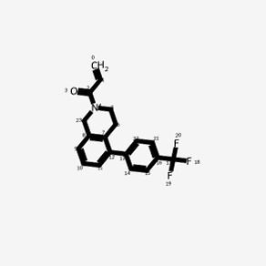 C=CC(=O)N1CCc2c(cccc2-c2ccc(C(F)(F)F)cc2)C1